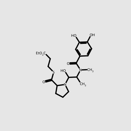 CCOC(=O)CCSC(=O)C1CCCN1C(O)C(C)N(C)C(=O)c1ccc(O)c(O)c1